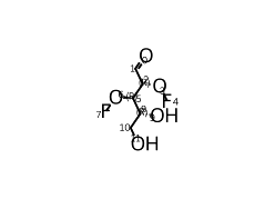 O=C[C@H](OF)[C@H](OF)[C@H](O)CO